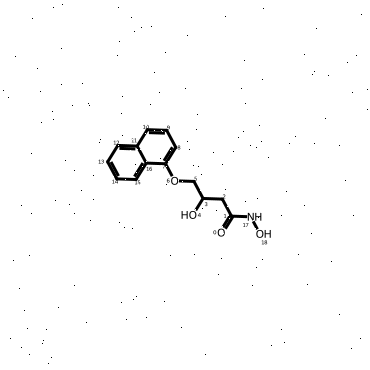 O=C(CC(O)COc1cccc2ccccc12)NO